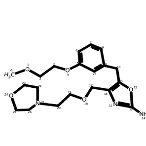 COCCOc1cccc(Cc2oc(N)nc2COCCN2CCOCC2)c1